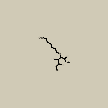 CCCCCCCCCCCCCCCCOC(C(=O)OC)C(O)C(O)CO